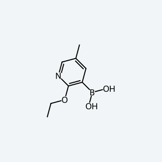 CCOc1ncc(C)cc1B(O)O